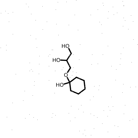 OCC(O)COC1(O)CCCCC1